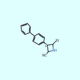 CCC1NC(C#N)[C@H]1c1ccc(-c2ccccc2)cc1